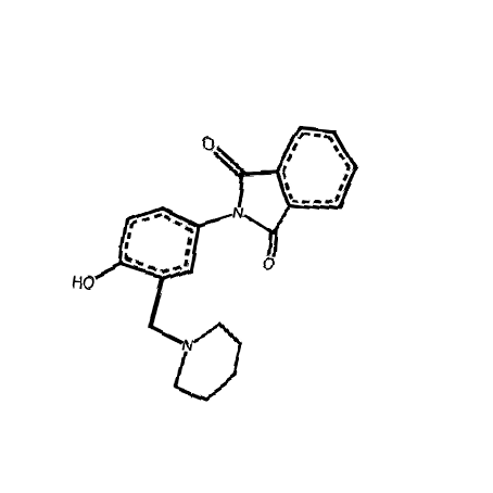 O=C1c2ccccc2C(=O)N1c1ccc(O)c(CN2CCCCC2)c1